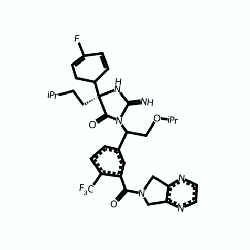 CC(C)CC[C@]1(C2C=CC(F)=CC2)NC(=N)N(C(COC(C)C)c2ccc(C(F)(F)F)c(C(=O)N3Cc4nccnc4C3)c2)C1=O